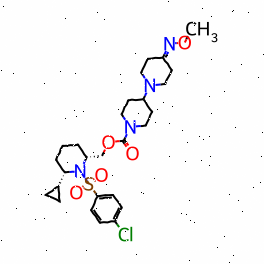 CON=C1CCN(C2CCN(C(=O)OC[C@H]3CCC[C@@H](C4CC4)N3S(=O)(=O)c3ccc(Cl)cc3)CC2)CC1